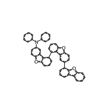 c1ccc(N(c2ccccc2)c2ccc3oc4cccc(-c5cccc6oc7ccc(-c8cccc9c8oc8ccccc89)cc7c56)c4c3c2)cc1